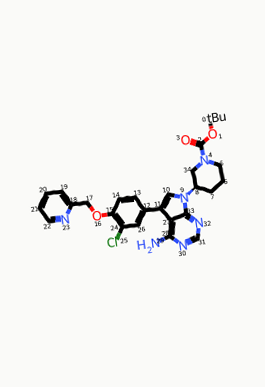 CC(C)(C)OC(=O)N1CCC[C@@H](n2cc(-c3ccc(OCc4ccccn4)c(Cl)c3)c3c(N)ncnc32)C1